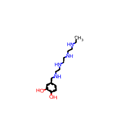 CCNCCNCCNCCNCc1ccc(O)c(O)c1